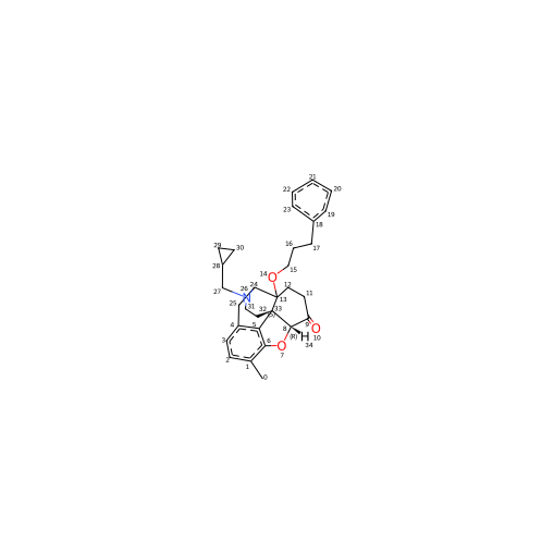 Cc1ccc2c3c1O[C@H]1C(=O)CCC4(OCCCc5ccccc5)C(C2)N(CC2CC2)CC[C@]314